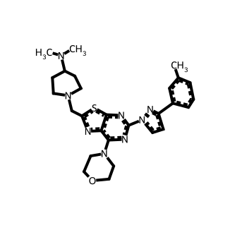 Cc1cccc(-c2ccn(-c3nc(N4CCOCC4)c4nc(CN5CCC(N(C)C)CC5)sc4n3)n2)c1